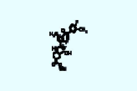 Cc1cc(NC(=O)c2c(F)c([S+]([O-])NC3CCN(C(=O)OC(C)(C)C)CC3CO)cn2C)ccc1F